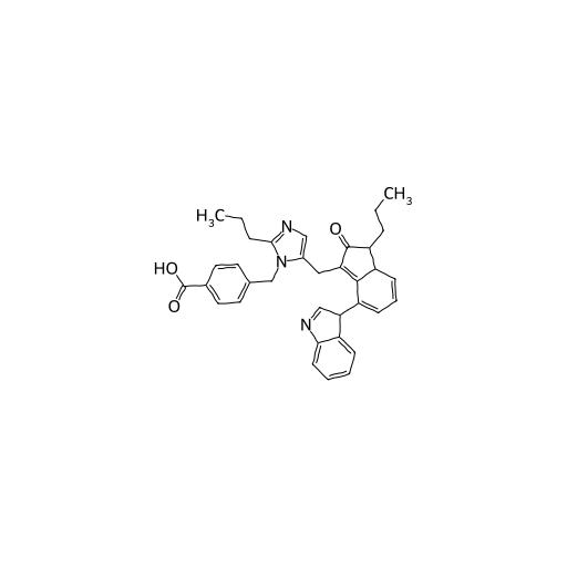 CCCc1ncc(CC2=C3C(C4C=Nc5ccccc54)=CC=CC3C(CCC)C2=O)n1Cc1ccc(C(=O)O)cc1